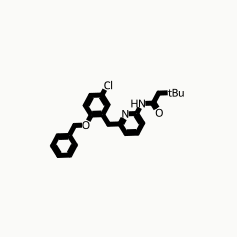 CC(C)(C)CC(=O)Nc1cccc(Cc2cc(Cl)ccc2OCc2ccccc2)n1